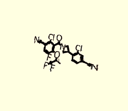 C[C@H](Oc1ccc(C#N)c(Cl)c1C(=O)N1CC(c2ccc(C#N)cc2Cl)C1)C(F)(F)F